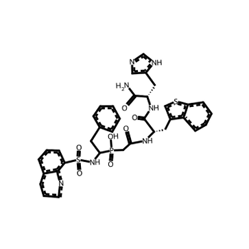 NC(=O)[C@H](Cc1cnc[nH]1)NC(=O)[C@H](Cc1csc2ccccc12)NC(=O)CP(=O)(O)C(Cc1ccccc1)NS(=O)(=O)c1cccc2cccnc12